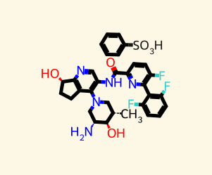 C[C@H]1CN(c2c(NC(=O)c3ccc(F)c(-c4c(F)cccc4F)n3)cnc3c2CC[C@H]3O)C[C@@H](N)[C@@H]1O.O=S(=O)(O)c1ccccc1